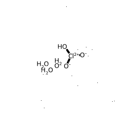 O.O.O.[O-][Cl+2]([O-])O